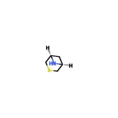 C1SC[C@H]2C[C@@H]1N2